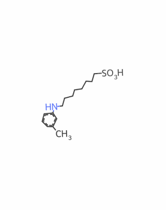 Cc1cccc(NCCCCCCCCS(=O)(=O)O)c1